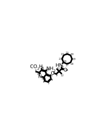 Cc1nc2cccc(OCC(C)(C)C(=O)NC3CCCCCCC3)c2c(N)c1C(=O)O